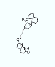 O=C1CCc2ccc(OCCCCN3CCN(c4cccc5cccc(C(F)(F)F)c45)CC3)nc2N1